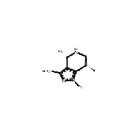 CCn1nc(C(=O)O)c2c1[C@@H](C)CNC2.Cl